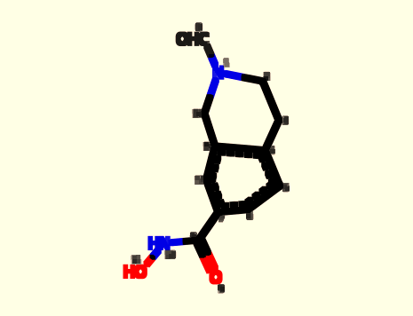 O=CN1CCc2ccc(C(=O)NO)cc2C1